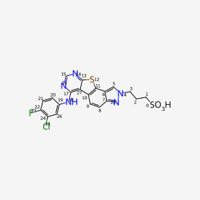 O=S(=O)(O)CCCn1cc2c(ccc3c2sc2ncnc(Nc4ccc(F)c(Cl)c4)c23)n1